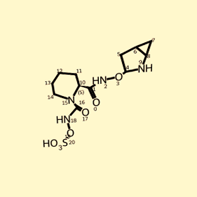 O=C(NOC1CC2CC2N1)[C@@H]1CCCCN1C(=O)NOS(=O)(=O)O